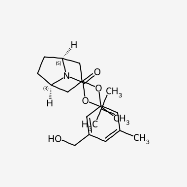 Cc1cc(CO)cc(OC2C[C@H]3CC[C@@H](C2)N3C(=O)OC(C)(C)C)c1